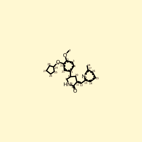 COc1ccc(C2CNC(=O)C(=Cc3cccc(C)n3)C2)cc1OC1CCCC1